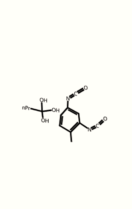 CCCC(O)(O)O.Cc1ccc(N=C=O)cc1N=C=O